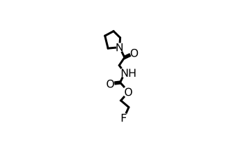 O=C(NCC(=O)N1CCCC1)OCCF